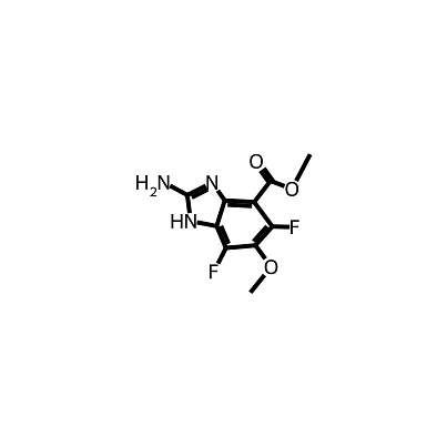 COC(=O)c1c(F)c(OC)c(F)c2[nH]c(N)nc12